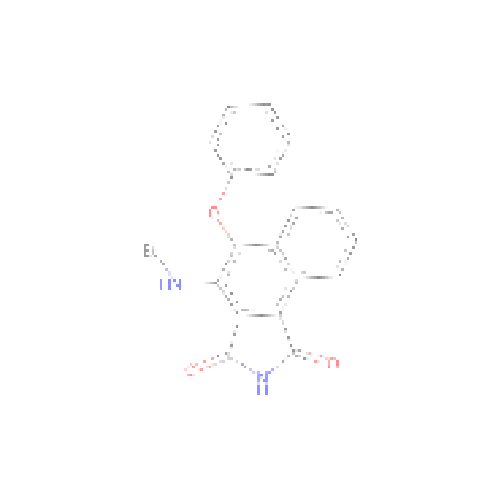 CCNc1c2c(c3ccccc3c1Oc1ccccc1)C(=O)NC2=O